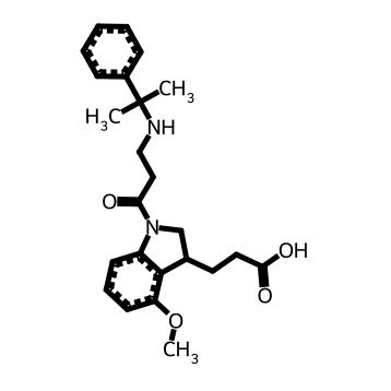 COc1cccc2c1C(CCC(=O)O)CN2C(=O)CCNC(C)(C)c1ccccc1